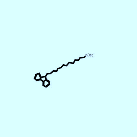 CCCCCCCCCCCCCCCCCCCCCCCCC1c2ccccc2-c2ccccc21